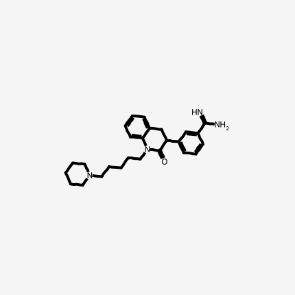 N=C(N)c1cccc(C2Cc3ccccc3N(CCCCCN3CCCCC3)C2=O)c1